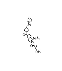 NC1c2ccc(C(=O)c3ccc(C=NN4CCSCC4)cc3)cc2CCN1CC(=O)OCCO